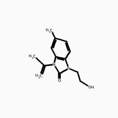 C=C(C)n1c(=O)n(CCO)c2ccc(C)cc21